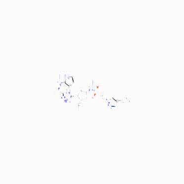 CC[C@@H]1C[C@H](NS(=O)(=O)CCn2cc(C#N)cn2)C[C@@H]1c1nnc2cnc3[nH]ccc3n12